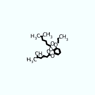 CCCOc1cccc(OC(=O)CCCC(C)C)c1OC(=O)CCCC(C)C